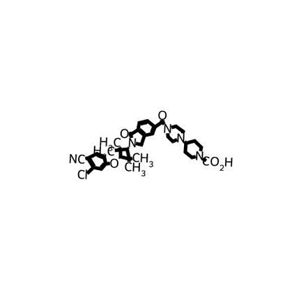 CC1(C)[C@H](Oc2ccc(C#N)c(Cl)c2)C(C)(C)[C@H]1N1Cc2cc(C(=O)N3CCN(C4CCN(C(=O)O)CC4)CC3)ccc2C1=O